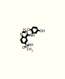 Cc1ccc(O)cc1Nc1ncnc2ccc(S(C)(=N)=O)cc12